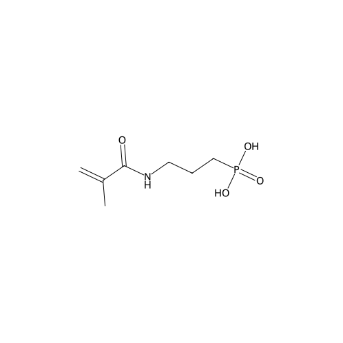 C=C(C)C(=O)NCCCP(=O)(O)O